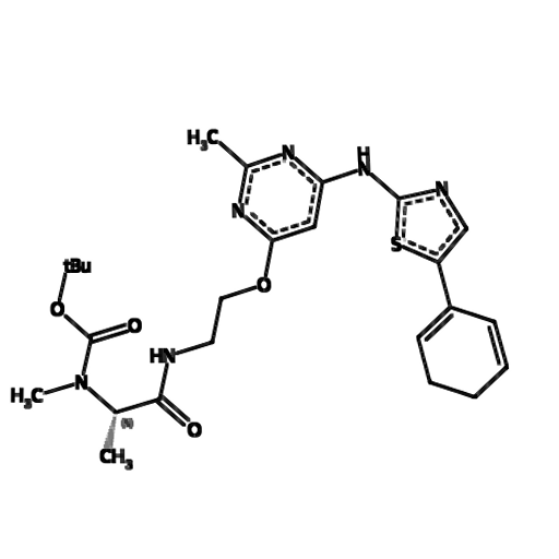 Cc1nc(Nc2ncc(C3=CCCC=C3)s2)cc(OCCNC(=O)[C@H](C)N(C)C(=O)OC(C)(C)C)n1